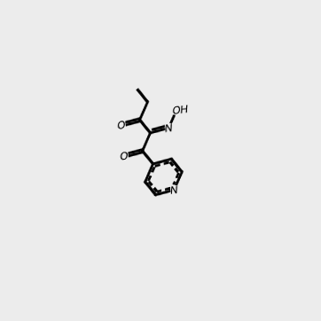 CCC(=O)C(=NO)C(=O)c1ccncc1